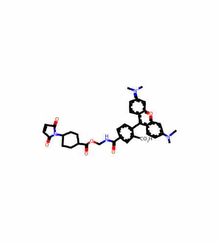 CN(C)c1ccc2c(-c3ccc(C(=O)NCOC(=O)C4CCC(N5C(=O)C=CC5=O)CC4)cc3C(=O)O)c3ccc(=[N+](C)C)cc-3oc2c1